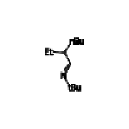 CCCCC(C=NC(C)(C)C)CC